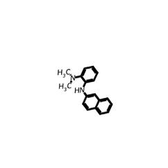 CN(C)c1ccccc1Nc1ccc2ccccc2c1